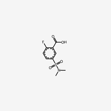 CN(C)S(=O)(=O)c1ccc(F)c(C(=O)O)c1